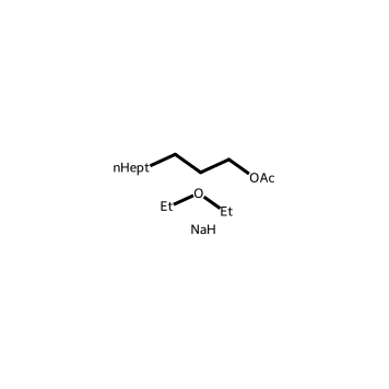 CCCCCCCCCCOC(C)=O.CCOCC.[NaH]